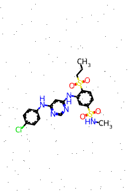 CCCS(=O)(=O)c1ccc(S(=O)(=O)NC)cc1Nc1cc(Nc2ccc(Cl)cc2)ncn1